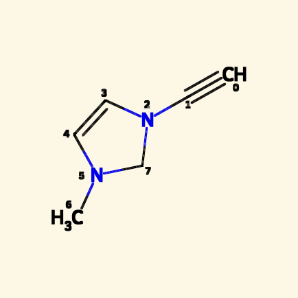 C#CN1C=CN(C)C1